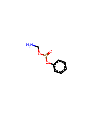 NCOS(=O)Oc1ccccc1